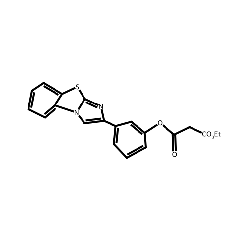 CCOC(=O)CC(=O)Oc1cccc(-c2cn3c(n2)sc2ccccc23)c1